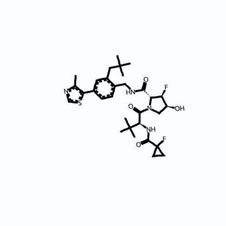 Cc1ncsc1-c1ccc(CNC(=O)[C@@H]2[C@@H](F)[C@@H](O)CN2C(=O)[C@@H](NC(=O)C2(F)CC2)C(C)(C)C)c(CC(C)(C)C)c1